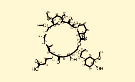 CO[C@H]1C[C@@H](C)C/C(C)=C/[C@@H](CCCC(=O)O)C(=O)C[C@H](O)[C@@H](C)[C@@H](C(C)C[C@@H]2CC[C@@H](O)[C@H](OC)C2)OC(=O)[C@@H]2CCCCN2C(=O)C(=O)[C@]2(O)O[C@H]1[C@@H](OC)C[C@H]2C